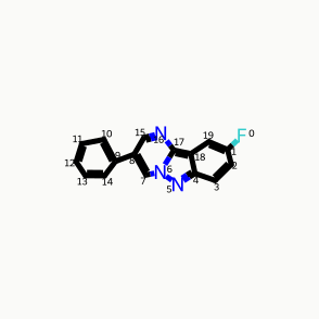 Fc1ccc2nn3cc(-c4ccccc4)cnc3c2c1